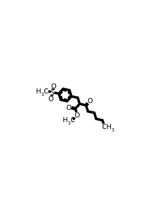 CCCCCC(=O)C(Cc1ccc(S(C)(=O)=O)cc1)C(=O)OC